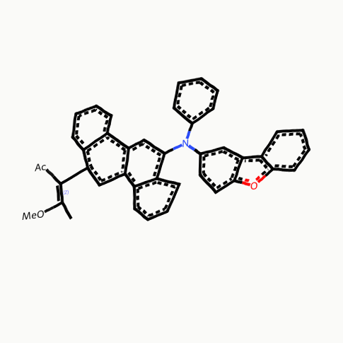 CO/C(C)=C(\C(C)=O)c1cc2c3ccccc3c(N(c3ccccc3)c3ccc4oc5ccccc5c4c3)cc2c2ccccc12